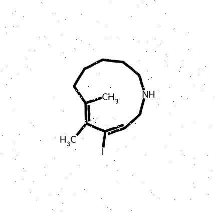 C/C1=C(C)\C(I)=C/CNCCCCC1